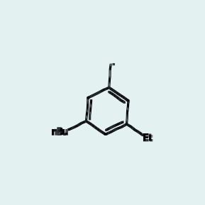 [CH2]c1cc(CC)cc(CCCC)c1